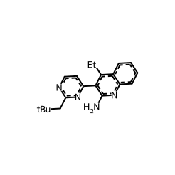 CCc1c(-c2ccnc(CC(C)(C)C)n2)c(N)nc2ccccc12